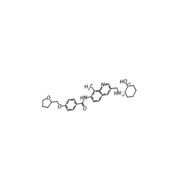 Cc1c(NC(=O)c2ccc(OCC3CCCO3)cc2)ccc2cc(CN[C@H]3CCCC[C@@H]3O)cnc12